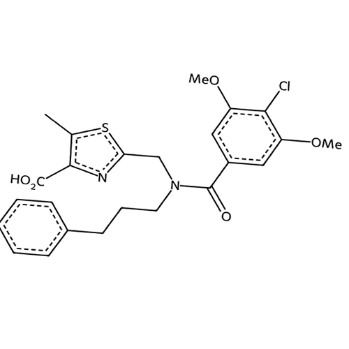 COc1cc(C(=O)N(CCCc2ccccc2)Cc2nc(C(=O)O)c(C)s2)cc(OC)c1Cl